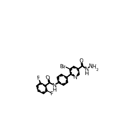 NNC(=O)c1cnc(-c2ccc(NC(=O)c3c(F)cccc3F)cc2)c(Br)c1